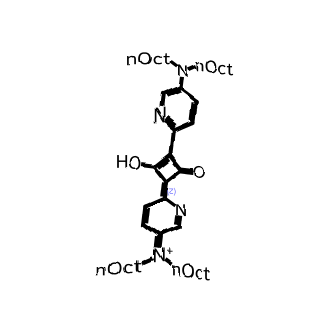 CCCCCCCCN(CCCCCCCC)c1ccc(C2=C(O)/C(=C3\C=CC(=[N+](CCCCCCCC)CCCCCCCC)C=N3)C2=O)nc1